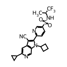 C[C@H](NS(=O)(=O)c1ccc(-c2c(C#N)c3cc(C4CC4)ncc3n2C2CCC2)nc1)C(F)(F)F